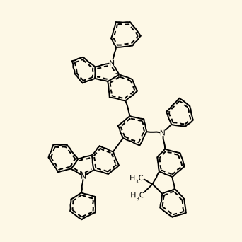 CC1(C)c2ccccc2-c2ccc(N(c3ccccc3)c3cc(-c4ccc5c(c4)c4ccccc4n5-c4ccccc4)cc(-c4ccc5c(c4)c4ccccc4n5-c4ccccc4)c3)cc21